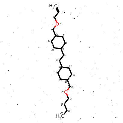 C=CCOCC1CCC(CCC2CCC(COCCCC)CC2)CC1